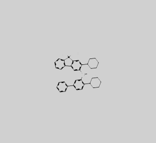 CC1(C)c2ccccc2-c2cc(N(c3cc(-c4ccccc4)ccc3C3CCCCC3)C(C)(C)C)c(C3CCCCC3)cc21